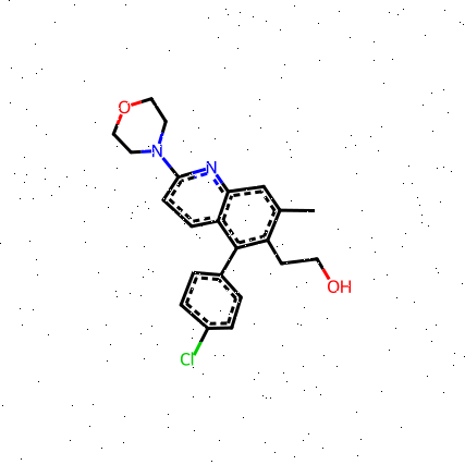 Cc1cc2nc(N3CCOCC3)ccc2c(-c2ccc(Cl)cc2)c1CCO